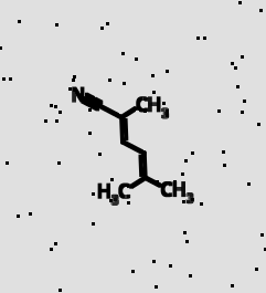 CC(C)=C/C=C(\C)C#N